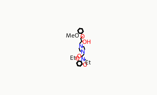 CCOc1cccc(OCC)c1N(C)C(=O)CN1CCN(CC(O)COc2ccccc2OC)CC1